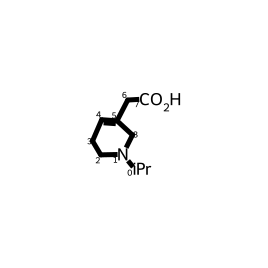 CC(C)N1CCC=C(CC(=O)O)C1